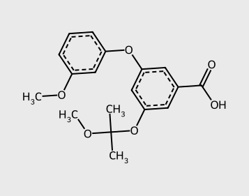 COc1cccc(Oc2cc(OC(C)(C)OC)cc(C(=O)O)c2)c1